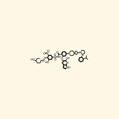 COc1nc2[nH]ccc2cc1Oc1cc(N2CCC3(CC2)CC(N2CCC[C@H]2c2ccccc2C(C)C)C3)ccc1C(=O)NS(=O)(=O)c1cc2c(c([N+](=O)[O-])c1)S[C@@H]([C@H]1CC[C@](C)(O)CC1)CO2